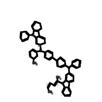 C/C=C\C=C(/C)n1c2ccccc2c2ccc(N(c3ccccc3)c3ccc(-c4ccc(N(C5=CC=CC(C)C5)[C@H]5C=c6c(c7c(n6-c6ccccc6)C=CCC7)=CC5)cc4)cc3)cc21